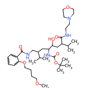 COCCCCOc1ccccc1C(=O)NCC(CC(NC(=O)OC(C)(C)C)C(O)CC(C(=O)NCCN1CCOCC1)C(C)C)C(C)C